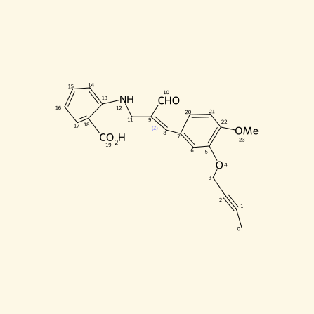 CC#CCOc1cc(/C=C(\C=O)CNc2ccccc2C(=O)O)ccc1OC